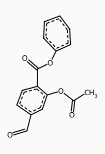 CC(=O)Oc1cc(C=O)ccc1C(=O)Oc1ccccc1